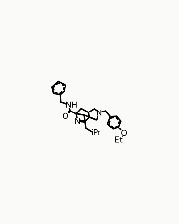 CCOc1ccc(CN2CC3CC4(C(=O)NCc5ccccc5)N=CC3C2C4CC(C)C)cc1